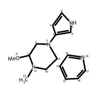 COC1CN(c2cc[nH]c2)CCN1C.c1ccncc1